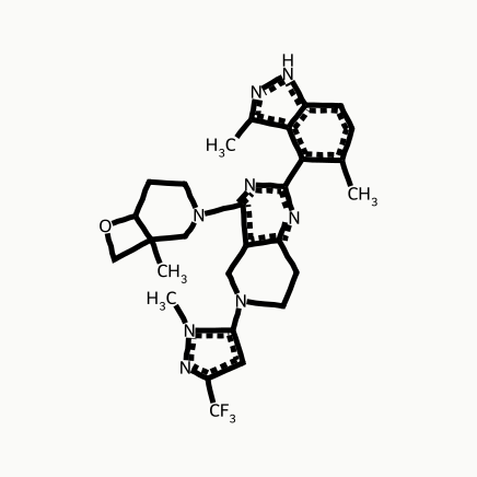 Cc1ccc2[nH]nc(C)c2c1-c1nc2c(c(N3CCC4OCC4(C)C3)n1)CN(c1cc(C(F)(F)F)nn1C)CC2